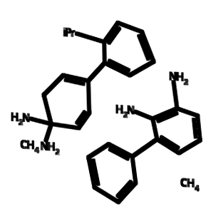 C.C.CC(C)c1ccccc1C1=CCC(N)(N)C=C1.Nc1cccc(-c2ccccc2)c1N